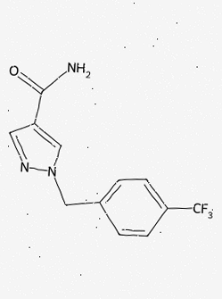 NC(=O)c1cnn(Cc2ccc(C(F)(F)F)cc2)c1